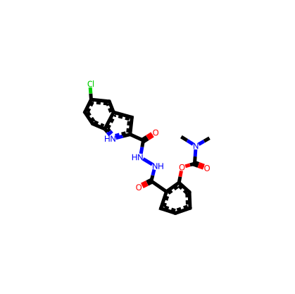 CN(C)C(=O)Oc1ccccc1C(=O)NNC(=O)c1cc2cc(Cl)ccc2[nH]1